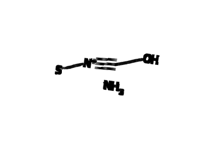 N.OC#[N+][S-]